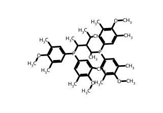 COc1c(C)cc(P(c2cc(C)c(OC)c(C)c2)C(C)C(C(C)C)C(C)P(c2cc(C)c(OC)c(C)c2)c2cc(C)c(OC)c(C)c2)cc1C